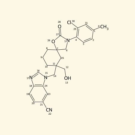 Cc1ccc(N2CC3(CCCC(CO)(Cn4cnc5ccc(C#N)cc54)C3)OC2=O)c(Cl)c1